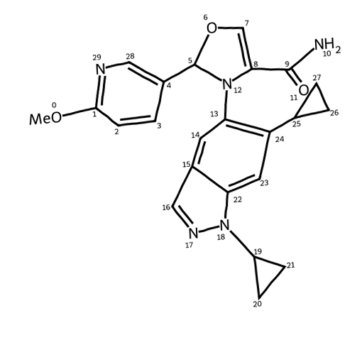 COc1ccc(C2OC=C(C(N)=O)N2c2cc3cnn(C4CC4)c3cc2C2CC2)cn1